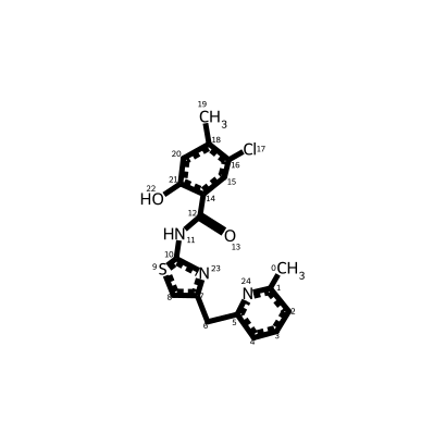 Cc1cccc(Cc2csc(NC(=O)c3cc(Cl)c(C)cc3O)n2)n1